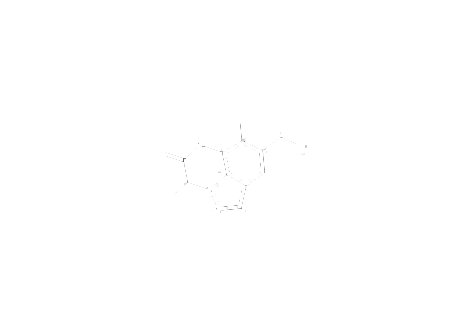 CC1C(=O)Nc2c(F)c(CO)cc3cnn1c23